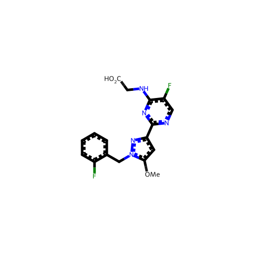 COc1cc(-c2ncc(F)c(NCC(=O)O)n2)nn1Cc1ccccc1F